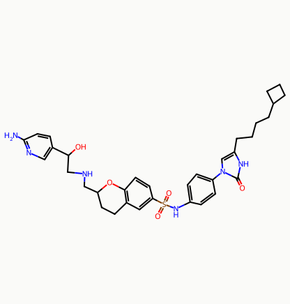 Nc1ccc(C(O)CNCC2CCc3cc(S(=O)(=O)Nc4ccc(-n5cc(CCCCC6CCC6)[nH]c5=O)cc4)ccc3O2)cn1